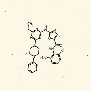 CCc1nc(Nc2ncc(C(=O)Nc3c(C)cccc3Cl)o2)nc(N2CCN(c3ccccc3)CC2)n1